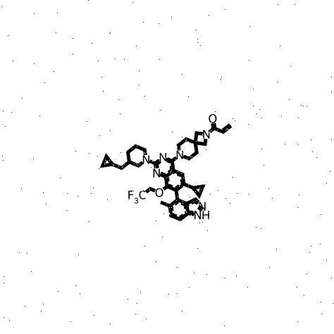 C=CC(=O)N1CC2(CCN(c3nc(N4CCCC(CC5CC5)C4)nc4c(OCC(F)(F)F)c(-c5c(C)ccc6[nH]ncc56)c(C5CC5)cc34)CC2)C1